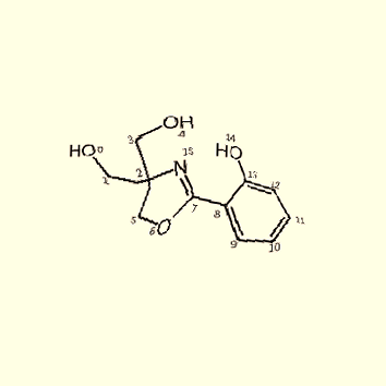 OCC1(CO)COC(c2ccccc2O)=N1